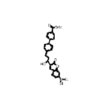 CCN(CC)c1ccc2cc(C(O)CCc3ccc(-c4ccc(C(=O)OC(C)=O)cc4)cc3)c(=O)oc2c1